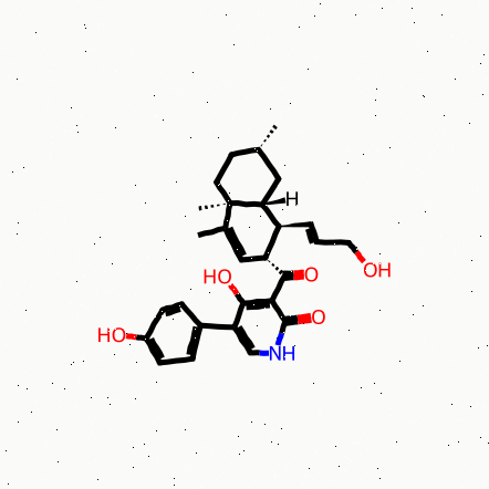 CC1=C[C@@H](C(=O)c2c(O)c(-c3ccc(O)cc3)c[nH]c2=O)[C@H](/C=C/CO)[C@H]2C[C@@H](C)CC[C@]12C